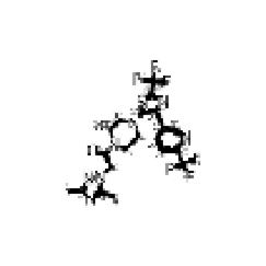 Cc1nc(C)n(CC(=O)N2CCN(c3sc(C(F)(F)F)nc3-c3ccc(C(F)(F)F)nc3)C[C@H]2C)n1